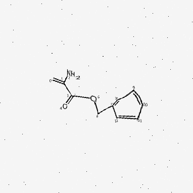 C=C(N)C(=O)OCc1ccccc1